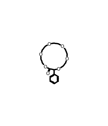 O=C1OCCOCCOCCOCCOCCOC1c1ccccc1